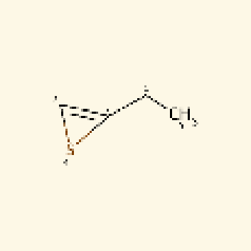 CCC1=CS1